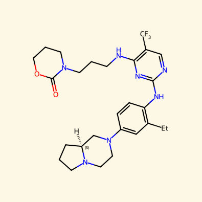 CCc1cc(N2CCN3CCC[C@H]3C2)ccc1Nc1ncc(C(F)(F)F)c(NCCCN2CCCOC2=O)n1